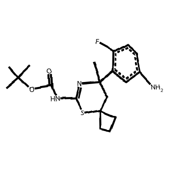 CC(C)(C)OC(=O)NC1=NC(C)(c2cc(N)ccc2F)CC2(CCC2)S1